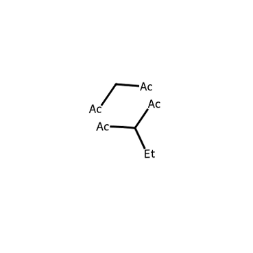 CC(=O)CC(C)=O.CCC(C(C)=O)C(C)=O